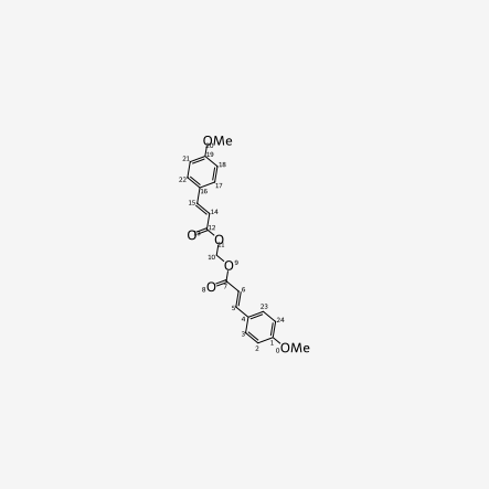 COc1ccc(/C=C/C(=O)OCOC(=O)/C=C/c2ccc(OC)cc2)cc1